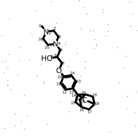 CN1CCN(CC(O)COc2ccc(C34CC5CC(CC3C5)C4)cc2)CC1